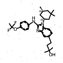 C[C@@H]1C[C@H](n2c(Nc3ccc(OC(C)(F)F)cc3)nc3cc(CCC(C)(C)O)ccc32)CC(C)(C)C1